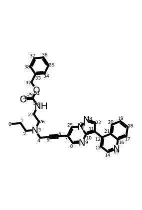 CCCN(CC#Cc1cnc2c(-c3ccnc4ccccc34)cnn2c1)CCNC(=O)OCc1ccccc1